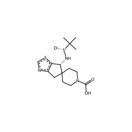 CC(C)(C)[S@@+]([O-])N[C@H]1c2scnc2CC12CCN(C(=O)O)CC2